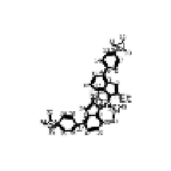 CCC1=Cc2c(-c3ccc([Si](C)(C)C)cc3)cccc2[CH]1[Zr]([CH]1C(CC)=Cc2c(-c3ccc([Si](C)(C)C)cc3)cccc21)=[Si](C)C